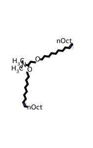 CCCCCCCC/C=C\CCCCCCCCOCCC(OCCCCCCCC/C=C\CCCCCCCC)N(C)C